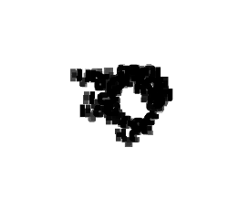 C=C1C[C@@H]2CC[C@@]34C[C@@H]5O[C@H]6C(O3)[C@H]3OC(CC[C@@H]3O[C@H]6[C@H]5O4)CC(=O)C[C@@H]3[C@@H](C)[C@@H](C[C@H](O)CN)O[C@H]3CC3O[C@@H](CCC1O2)C[C@@H](C)C3=C